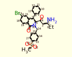 CCC(N)=CC(=O)c1c(-c2ccccc2)c2cc(Br)ccc2c(=O)n1Cc1ccc(S(C)(=O)=O)cc1